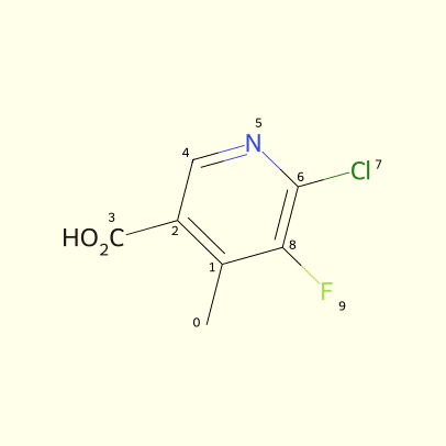 Cc1c(C(=O)O)cnc(Cl)c1F